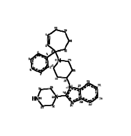 C1=CC(c2ccccc2)(N2CCC(n3c(N4CCNCC4)nc4ccccc43)CC2)CCCC1